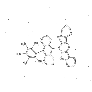 Bc1c(B)c(B)c(-c2c3ccccc3c(-c3c4oc5ccccc5c4cc4c3oc3ccccc34)c3ccccc23)c(B)c1B